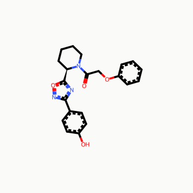 O=C(COc1ccccc1)N1CCCC[C@@H]1c1nc(-c2ccc(O)cc2)no1